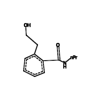 CCCNC(=O)c1ccccc1CCO